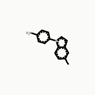 Cc1ccc2c(ccn2-c2ccc([N+](=O)[O-])cc2)c1